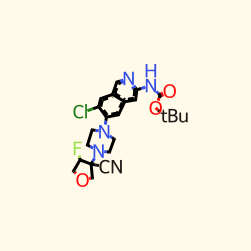 CC(C)(C)OC(=O)Nc1cc2cc(N3CCN(C4(C#N)COCC4F)CC3)c(Cl)cc2cn1